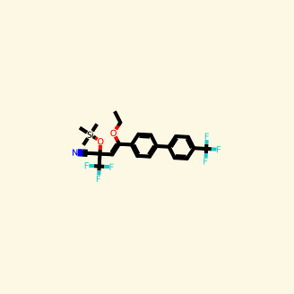 CCO/C(=C\C(C#N)(O[Si](C)(C)C)C(F)(F)F)c1ccc(-c2ccc(C(F)(F)F)cc2)cc1